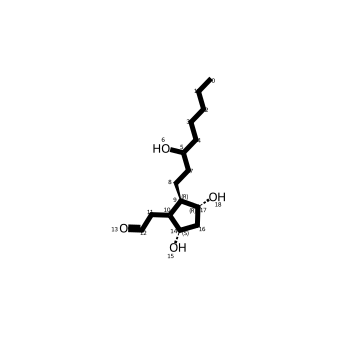 CCCCCC(O)CC[C@@H]1C(CC=O)[C@@H](O)C[C@H]1O